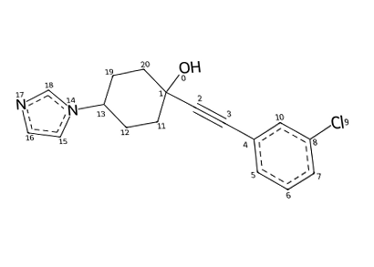 OC1(C#Cc2cccc(Cl)c2)CCC(n2ccnc2)CC1